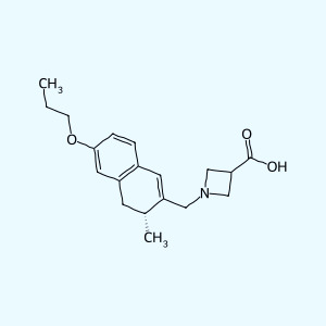 CCCOc1ccc2c(c1)C[C@@H](C)C(CN1CC(C(=O)O)C1)=C2